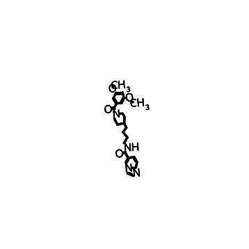 COc1cc(OC)cc(C(=O)N2CCC(CCCCNC(=O)c3ccc4nccn4c3)CC2)c1